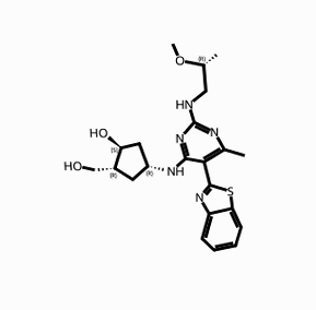 CO[C@H](C)CNc1nc(C)c(-c2nc3ccccc3s2)c(N[C@@H]2C[C@H](CO)[C@@H](O)C2)n1